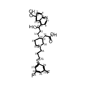 COc1ccc2nccc(C(O)CC[C@@H]3CCN(CCCSc4cc(F)cc(F)c4)C[C@@H]3CC(=O)O)c2c1